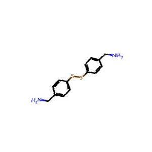 NCc1ccc(SSc2ccc(CN)cc2)cc1